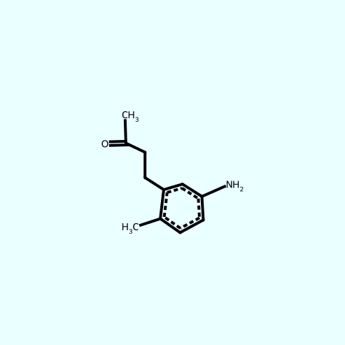 CC(=O)CCc1cc(N)ccc1C